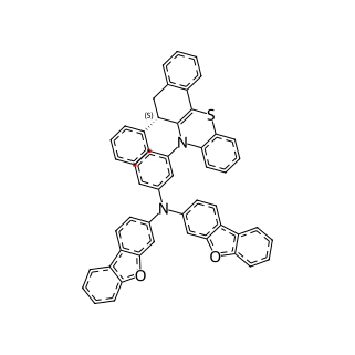 c1ccc([C@@H]2Cc3ccccc3C3=C2N(c2cccc(N(c4ccc5c(c4)oc4ccccc45)c4ccc5c(c4)oc4ccccc45)c2)c2ccccc2S3)cc1